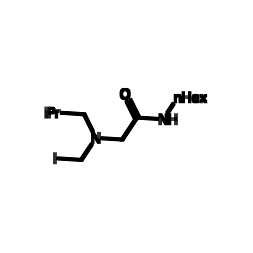 CCCCCCNC(=O)CN(CI)CC(C)C